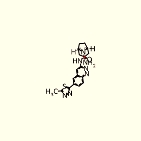 Cc1nnc(-c2ccc3nnc(NC(=O)N4[C@@H]5CC[C@H]4CC(N)C5)cc3c2)s1